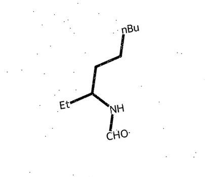 CCCCCCC(CC)N[C]=O